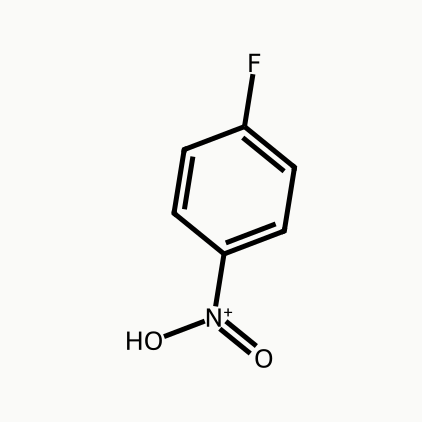 O=[N+](O)c1ccc(F)cc1